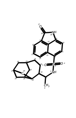 CC(NS(=O)(=O)c1ccc2c3c(cccc13)C(=O)N2)C1CCC2CC3CC(C2)C1C3